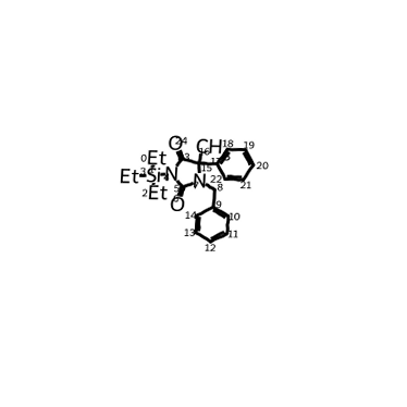 CC[Si](CC)(CC)N1C(=O)N(Cc2ccccc2)C(C)(c2ccccc2)C1=O